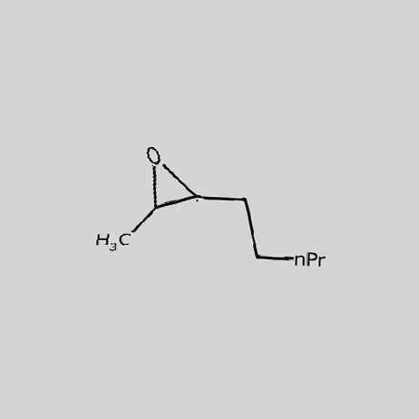 [CH2]CCCC[C]1OC1C